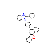 c1ccc(-c2nc3ccccc3n2-c2ccc(-c3cc4c5ccccc5oc4c4ccccc34)cc2)cc1